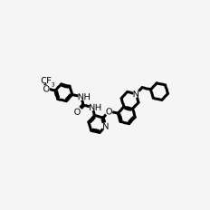 O=C(Nc1ccc(OC(F)(F)F)cc1)Nc1cccnc1Oc1cccc2c1CCN(CC1CCCCC1)C2